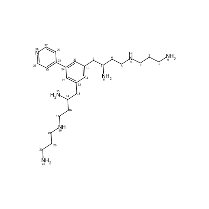 NCCCNCCC(N)Cc1cc(CC(N)CCNCCCN)cc(-c2ccncc2)c1